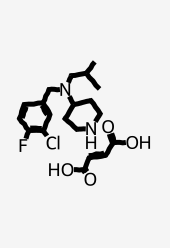 CC(C)CN(Cc1ccc(F)c(Cl)c1)C1CCNCC1.O=C(O)/C=C/C(=O)O